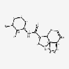 CC1CCCC(NC(=O)C2CSC34CC=CC=C3N=CCC24)C1C